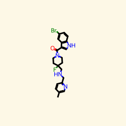 Cc1ccc(CNCC2(F)CCN(C(=O)c3c[nH]c4ccc(Br)cc34)CC2)nc1